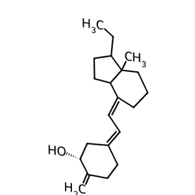 C=C1CC/C(=C/C=C2\CCCC3(C)C(CC)CCC23)C[C@H]1O